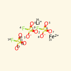 O=S(=O)([O-])F.O=S(=O)([O-])F.O=S(=O)([O-])F.[Fe+2].[Li+]